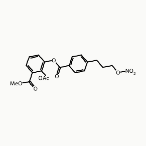 COC(=O)c1cccc(OC(=O)c2ccc(CCCO[N+](=O)[O-])cc2)c1OC(C)=O